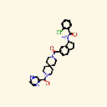 O=C(NC1CCc2ccc(C(=O)N3CCC4(CC3)CCN(C(=O)c3cnccn3)CC4)cc21)c1ccccc1Cl